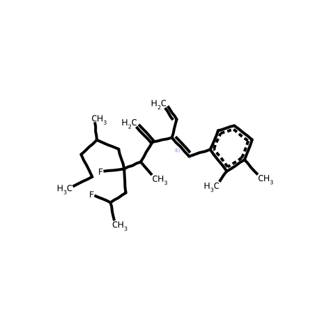 C=C/C(=C\c1cccc(C)c1C)C(=C)C(C)C(F)(CC(C)F)CC(C)CCC